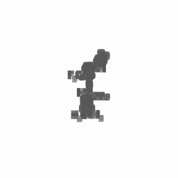 COc1cc(S(=O)(=O)N(C)C)ccc1NCC#Cc1cc2c(NC3CCS(=O)(=O)CC3)cccc2n1CC(F)(F)F